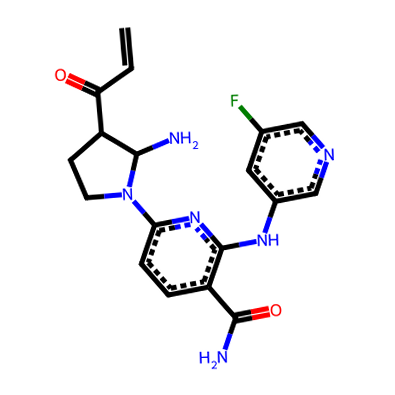 C=CC(=O)C1CCN(c2ccc(C(N)=O)c(Nc3cncc(F)c3)n2)C1N